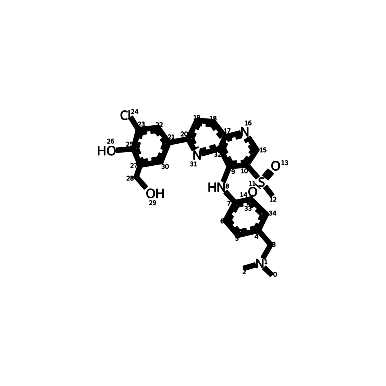 CN(C)Cc1ccc(Nc2c(S(C)(=O)=O)cnc3ccc(-c4cc(Cl)c(O)c(CO)c4)nc23)cc1